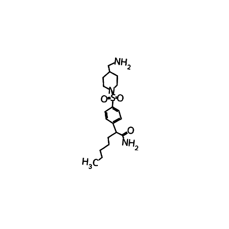 CCCCCC(C(N)=O)c1ccc(S(=O)(=O)N2CCC(CN)CC2)cc1